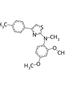 COc1ccc(N(C)c2nc(-c3ccc(C)cc3)cs2)c(OC)c1